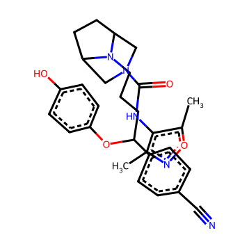 Cc1noc(C)c1NC(=O)N1CC2CCC(C1)N2CCCC(Oc1ccc(O)cc1)c1ccc(C#N)cc1